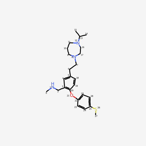 CNCc1cc(CCN2CCCN(C(C)C)CC2)ccc1Oc1ccc(SC)cc1